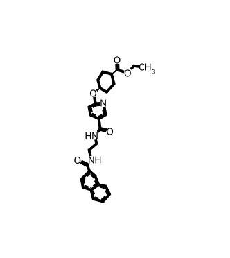 CCOC(=O)[C@H]1CC[C@@H](Oc2ccc(C(=O)NCCNC(=O)c3ccc4ccccc4c3)cn2)CC1